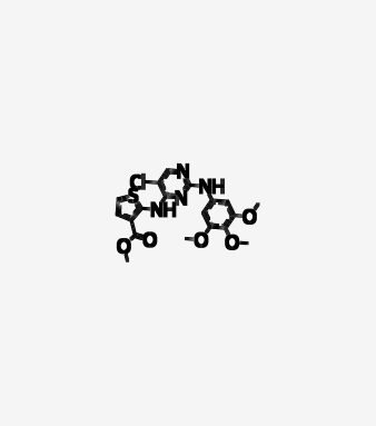 COC(=O)c1ccsc1Nc1nc(Nc2cc(OC)c(OC)c(OC)c2)ncc1Cl